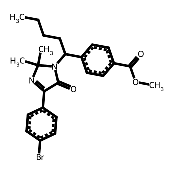 CCCCC(c1ccc(C(=O)OC)cc1)N1C(=O)C(c2ccc(Br)cc2)=NC1(C)C